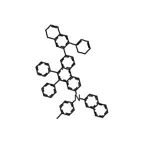 Cc1ccc(N(c2ccc3ccccc3c2)c2ccc3c(c2)c(-c2ccccc2)c(-c2ccccc2)c2cc(-c4cc5c(cc4C4=CC=CCC4)C=CCC5)ccc23)cc1